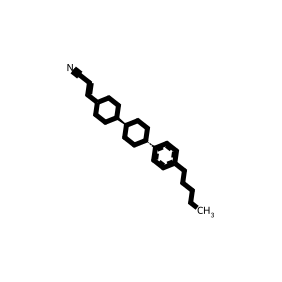 CCCCCc1ccc([C@H]2CC[C@H](C3CCC(/C=C/C#N)CC3)CC2)cc1